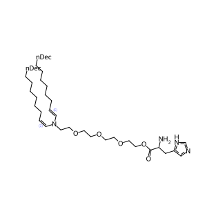 CCCCCCCCCCCCCCCC/C=C\N(/C=C/CCCCCCCCCCCCCCCC)CCOCCOCCOCCOC(=O)C(N)Cc1cnc[nH]1